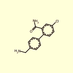 NCc1ccc(-c2ccc(Cl)cc2C(N)=O)cc1